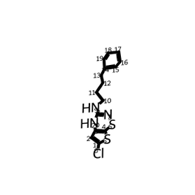 Clc1cc2c(s1)SN=C(NCCCCc1ccccc1)N2